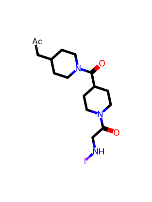 CC(=O)CC1CCN(C(=O)C2CCN(C(=O)CNI)CC2)CC1